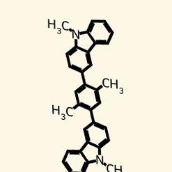 Cc1cc(-c2ccc3c(c2)c2ccccc2n3C)c(C)cc1-c1ccc2c(c1)c1ccccc1n2C